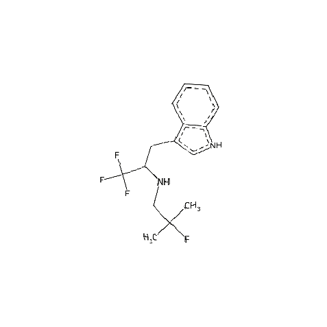 CC(C)(F)CNC(Cc1c[nH]c2ccccc12)C(F)(F)F